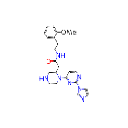 COc1ccccc1CCNC(=O)CC1CNCCN1c1ccnc(-n2ccnc2)n1